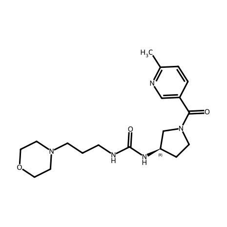 Cc1ccc(C(=O)N2CC[C@@H](NC(=O)NCCCN3CCOCC3)C2)cn1